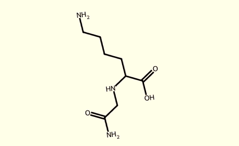 NCCCCC(NCC(N)=O)C(=O)O